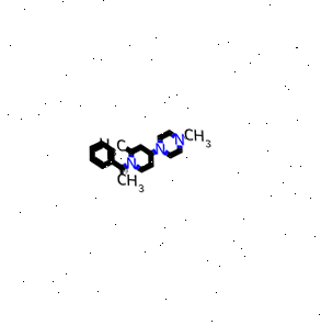 CC1CC(N2CCN(C)CC2)CCN1[C@@H](C)c1ccccc1